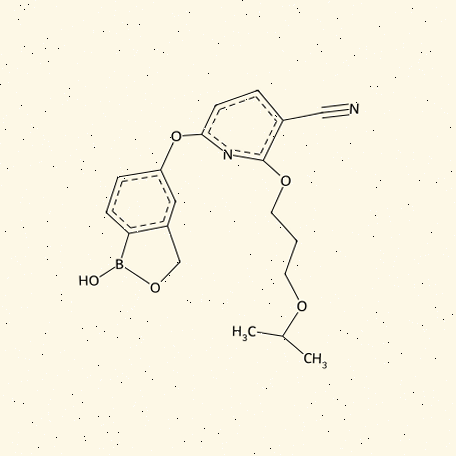 CC(C)OCCCOc1nc(Oc2ccc3c(c2)COB3O)ccc1C#N